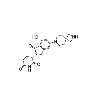 Cl.O=C1CCC(N2Cc3cc(N4CCC5(CC4)CNC5)ccc3C2=O)C(=O)N1